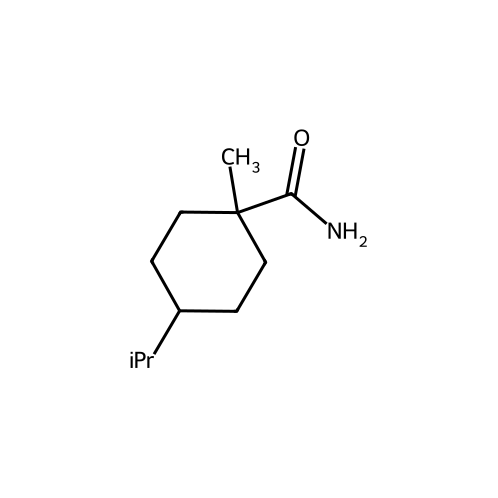 CC(C)C1CCC(C)(C(N)=O)CC1